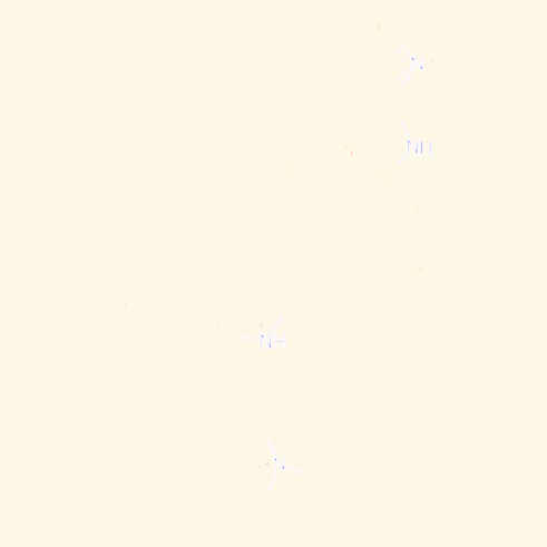 O=S(=O)(Nc1ccon1)c1c(F)cc(NCc2c(F)cccc2CN2CCC2)cc1F